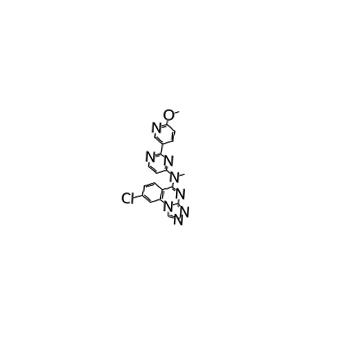 COc1ccc(-c2nccc(N(C)c3nc4nncn4c4cc(Cl)ccc34)n2)cn1